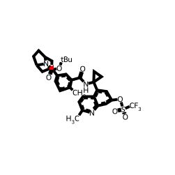 Cc1ccc2c(C3(NC(=O)c4cc(N5CC6CCC(C5)N6C(=O)OC(C)(C)C)ccc4C)CC3)cc(OS(=O)(=O)C(F)(F)F)cc2n1